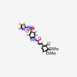 COc1ccc(/C=C/C(=O)Nc2ccc(S(=O)(=O)Nc3nccs3)cc2)c(Cl)c1OC